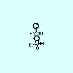 CCC1C(=O)Nc2cc3c(cc21)NC(c1ccccc1)N3